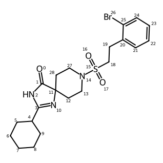 O=C1NC(C2CCCCC2)=NC12CCN(S(=O)(=O)CCc1ccccc1Br)CC2